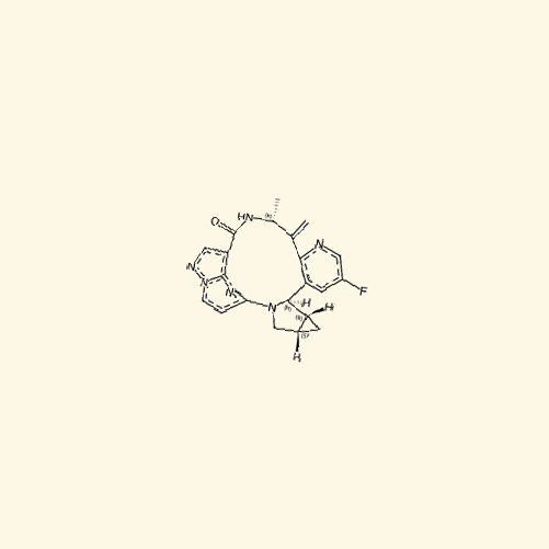 C=C1c2ncc(F)cc2[C@H]2[C@@H]3C[C@@H]3CN2c2ccn3ncc(c3n2)C(=O)N[C@@H]1C